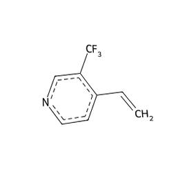 C=Cc1ccncc1C(F)(F)F